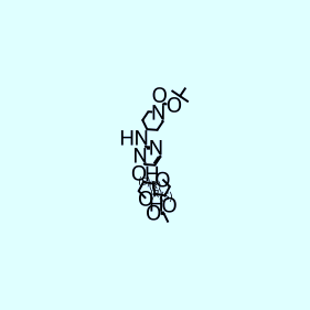 CC(=O)O[C@H]1CO[C@H]2[C@@H]1OC[C@@H]2Oc1ccnc(NC2CCN(C(=O)OC(C)(C)C)CC2)n1